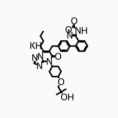 CCCCc1c(Cc2ccc(-c3ccccc3-c3noc(=O)[nH]3)cc2)c(=O)n(C2CCC(OCC(C)(C)O)CC2)c2ncnn12.[KH]